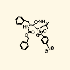 CC(C)CN(C[C@@H](ON)[C@H](Cc1ccccc1)NC(=O)OCc1ccccc1)S(=O)(=O)c1ccc([N+](=O)[O-])cc1